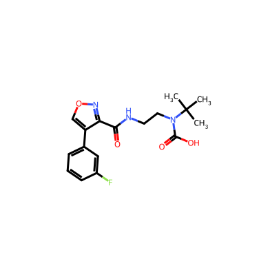 CC(C)(C)N(CCNC(=O)c1nocc1-c1cccc(F)c1)C(=O)O